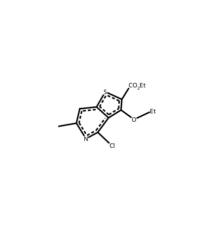 CCOC(=O)c1sc2cc(C)nc(Cl)c2c1OCC